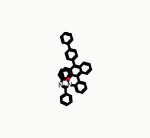 c1ccc(-c2ccc(-c3c4ccccc4c(-c4ccccc4-n4c(-c5ccccc5)nc5ccccc54)c4ccccc34)cc2)cc1